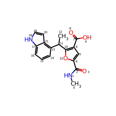 CNC(=O)c1cc(C(=O)O)c(C(C)c2cccc3[nH]ccc23)o1